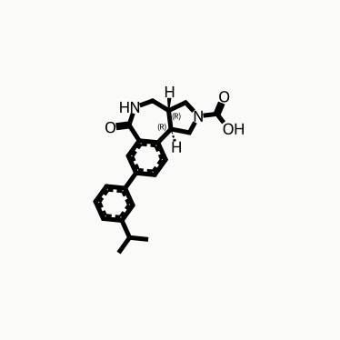 CC(C)c1cccc(-c2ccc3c(c2)C(=O)NC[C@@H]2CN(C(=O)O)C[C@@H]32)c1